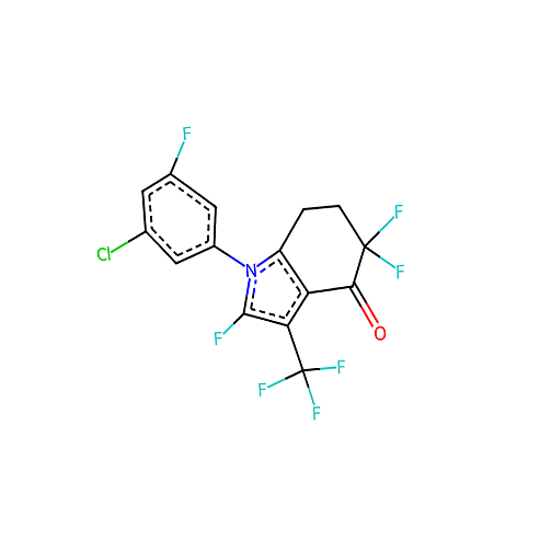 O=C1c2c(C(F)(F)F)c(F)n(-c3cc(F)cc(Cl)c3)c2CCC1(F)F